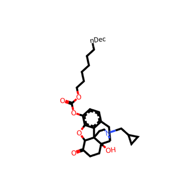 CCCCCCCCCCCCCCCCOC(=O)Oc1ccc2c3c1OC1C(=O)CCC4(O)C(C2)N(CC2CC2)CCC314